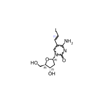 Nc1nc(=O)n([C@H]2C[C@H](O)[C@@H](CO)O2)cc1/C=C/I